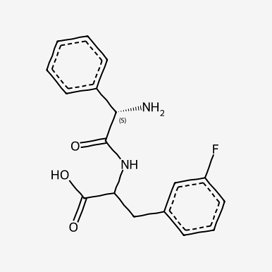 N[C@H](C(=O)NC(Cc1cccc(F)c1)C(=O)O)c1ccccc1